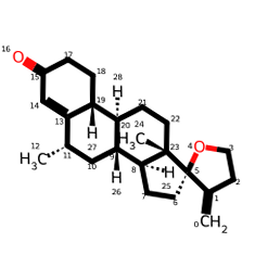 C=C1CCO[C@@]12CC[C@H]1[C@@H]3C[C@H](C)C4=CC(=O)CC[C@@H]4[C@H]3CC[C@@]12C